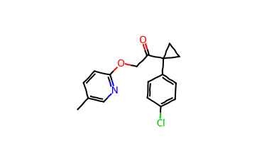 Cc1ccc(OCC(=O)C2(c3ccc(Cl)cc3)CC2)nc1